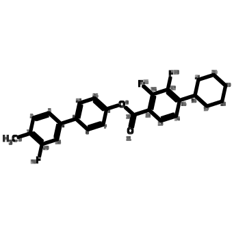 Cc1ccc(-c2ccc(OC(=O)c3ccc(C4CCCCC4)c(F)c3F)cc2)cc1F